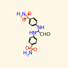 NS(=O)(=O)c1ccc(NC([C]=O)Nc2ccc(S(N)(=O)=O)cc2)cc1